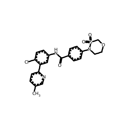 Cc1ccc(-c2cc(NC(=O)c3ccc(N4CCOCS4(=O)=O)cc3)ccc2Cl)nc1